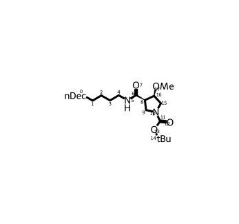 CCCCCCCCCCCCCCNC(=O)[C@@H]1CN(C(=O)OC(C)(C)C)C[C@@H]1OC